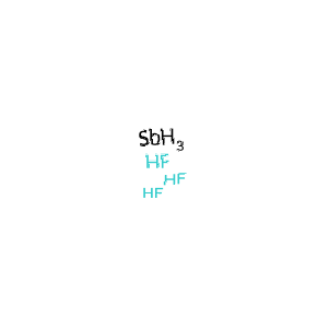 F.F.F.[SbH3]